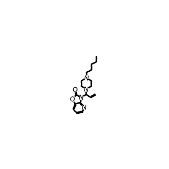 C=CC(N1CCN(CCCCC)CC1)n1c(=O)oc2cccnc21